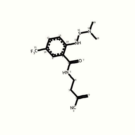 C=C(C#N)CCNC(=O)c1cc(C(F)(F)F)ccc1NSN(C)C